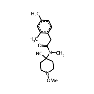 CON1CCC(C#N)(N(C)C(=O)Cc2ccc(C)cc2C)CC1